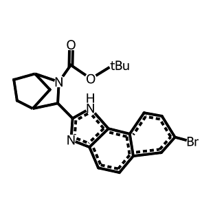 CC(C)(C)OC(=O)N1C2CCC(C2)C1c1nc2ccc3cc(Br)ccc3c2[nH]1